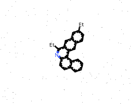 CCc1ccc2cc3c(cc2c1)c(CC)nc1ccc2ccccc2c13